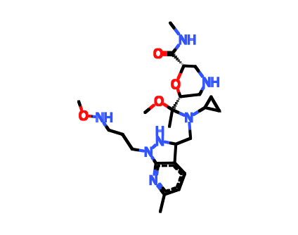 CNC(=O)[C@@H]1CNC[C@H](C(C)(OC)N(CC2NN(CCCNOC)c3nc(C)ccc32)C2CC2)O1